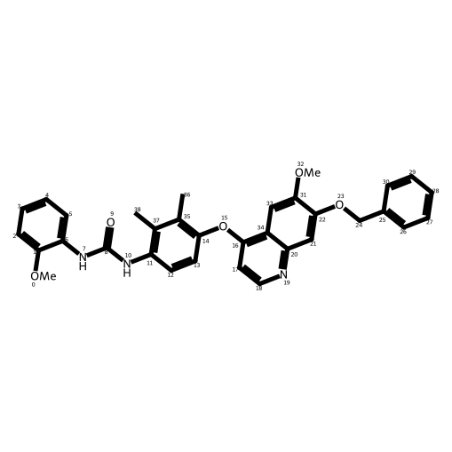 COc1ccccc1NC(=O)Nc1ccc(Oc2ccnc3cc(OCc4ccccc4)c(OC)cc23)c(C)c1C